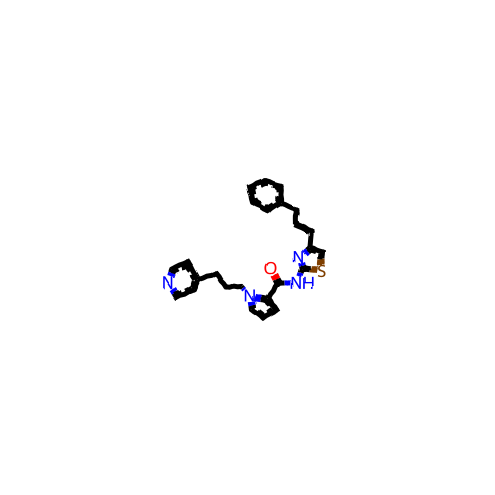 O=C(Nc1nc(/C=C/Cc2ccccc2)cs1)c1cccn1CCCc1ccncc1